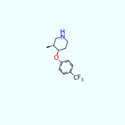 C[C@H]1CNCC[C@H]1Oc1ccc(C(F)(F)F)cc1